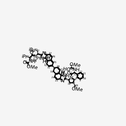 C=C([C@H](N[C@H](O)OC)c1ccccc1)N1C[C@@H](COC)C[C@H]1C1=NC2C=CC3=C(C=C[C@H](C4=CC[C@@H]5C(=C4)C=CC4N=C([C@H](C[C@@H](C)CC)NC(=O)[C@@H](NC(=O)OC)C(C)C)N[C@@H]45)C3)[C@H]2N1